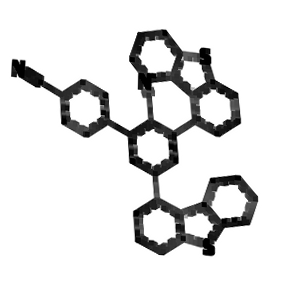 N#Cc1ccc(-c2cc(-c3cccc4sc5ccccc5c34)cc(-c3cccc4sc5ccccc5c34)c2C#N)cc1